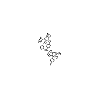 CC(C)n1cc(OC(=O)Nc2ccc(Oc3cc(-c4cn(C)cn4)cn4nccc34)c(OCc3ccccc3)c2)c(=O)n(-c2ccc(F)cc2)c1=O